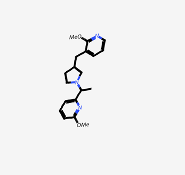 COc1cccc(C(C)N2CCC(Cc3cccnc3OC)C2)n1